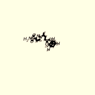 CC(CCB1O[C@@H]2C[C@@H]3C[C@@H](C3(C)C)[C@]2(C)O1)n1ccc(S(N)(=O)=O)n1